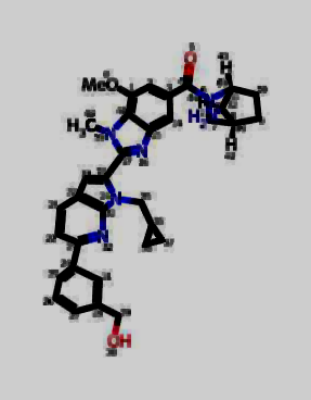 COc1cc(C(=O)N2C[C@H]3CC[C@@H]2[C@@H]3N)cc2nc(-c3cc4ccc(-c5cccc(CO)c5)nc4n3CC3CC3)n(C)c12